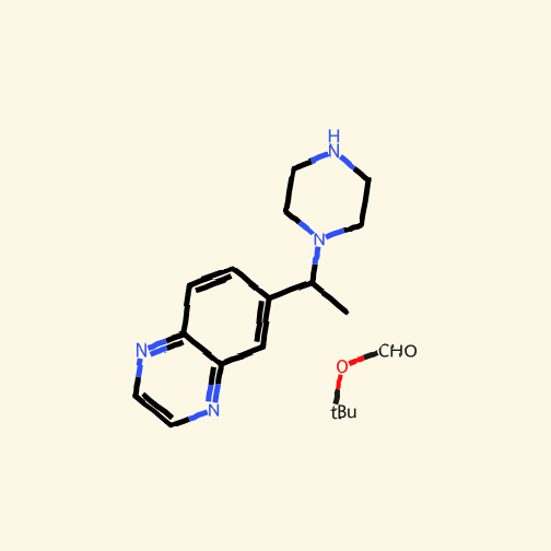 CC(C)(C)OC=O.CC(c1ccc2nccnc2c1)N1CCNCC1